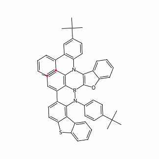 Cc1cc2c3c(c1)N(c1ccc(C(C)(C)C)cc1-c1ccccc1)c1c(oc4ccccc14)B3N(c1ccc(C(C)(C)C)cc1)c1c-2ccc2sc3ccccc3c12